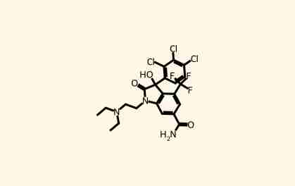 CCN(CC)CCN1C(=O)C(O)(c2ccc(Cl)c(Cl)c2Cl)c2c1cc(C(N)=O)cc2C(F)(F)F